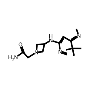 C=N/C(=C\C(=N/C)C(C)(C)C)NC1CN(CC(N)=O)C1